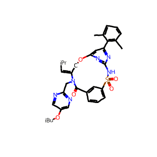 CCC(C)Oc1cnc(CN2C(=O)c3cccc(c3)S(=O)(=O)Nc3nc(cc(-c4c(C)cccc4C)n3)OC/C2=C\C(C)C)nc1